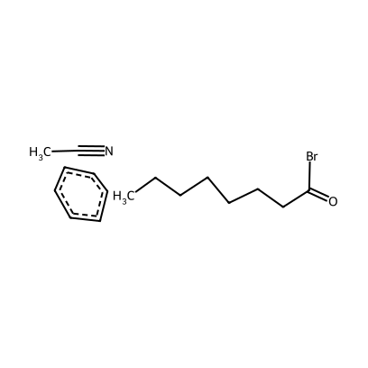 CC#N.CCCCCCCC(=O)Br.c1ccccc1